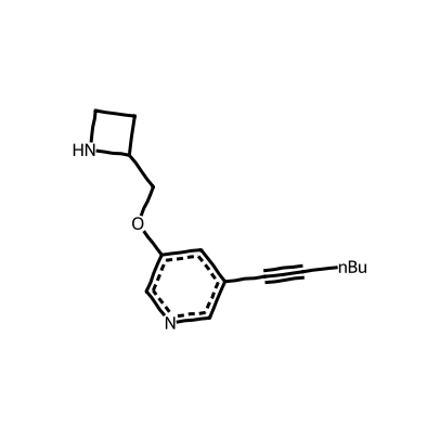 CCCCC#Cc1cncc(OCC2CCN2)c1